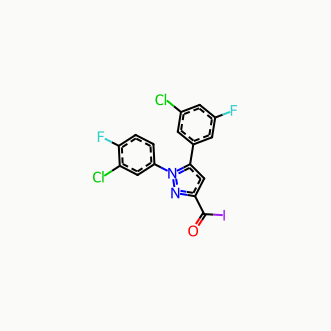 O=C(I)c1cc(-c2cc(F)cc(Cl)c2)n(-c2ccc(F)c(Cl)c2)n1